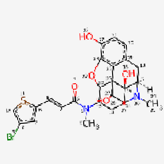 CN(C(=O)/C=C/c1cc(Br)cs1)C1CC[C@@]2(O)[C@H]3Cc4ccc(O)c5c4[C@@]2(C(O)CN3C)C1O5